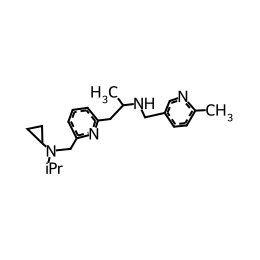 Cc1ccc(CNC(C)Cc2cccc(CN(C(C)C)C3CC3)n2)cn1